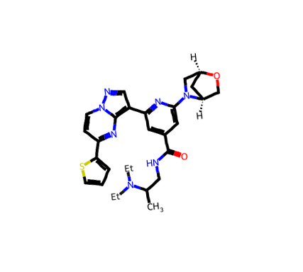 CCN(CC)C(C)CNC(=O)c1cc(-c2cnn3ccc(-c4cccs4)nc23)nc(N2C[C@@H]3C[C@H]2CO3)c1